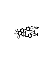 COc1ccc(-c2ccc3c(c2)/C(=C\NCc2ccc(O)c(O)c2)C(=O)NC3=O)cc1